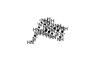 N=[N+]=N.N=[N+]=N.N=[N+]=N.N=[N+]=N.N=[N+]=N.N=[N+]=N.N=[N+]=N.N=[N+]=N